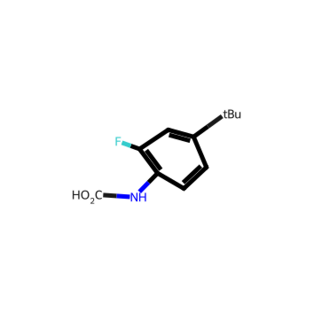 CC(C)(C)c1ccc(NC(=O)O)c(F)c1